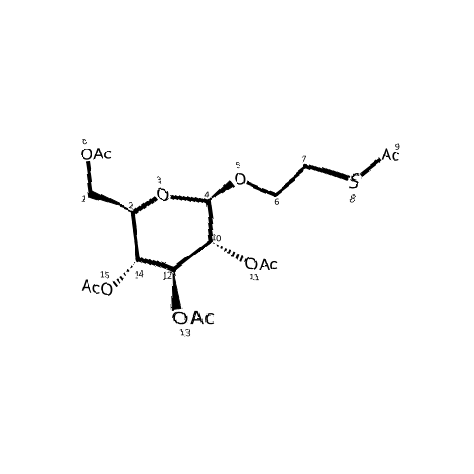 CC(=O)OC[C@H]1O[C@@H](OCCSC(C)=O)[C@H](OC(C)=O)[C@@H](OC(C)=O)[C@@H]1OC(C)=O